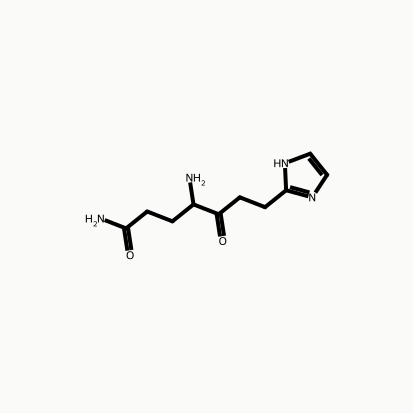 NC(=O)CCC(N)C(=O)CCc1ncc[nH]1